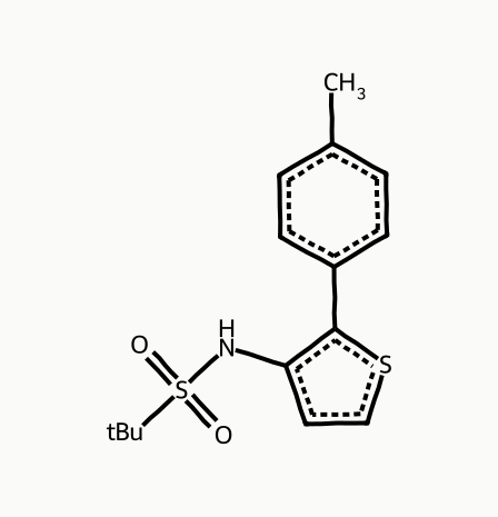 Cc1ccc(-c2sccc2NS(=O)(=O)C(C)(C)C)cc1